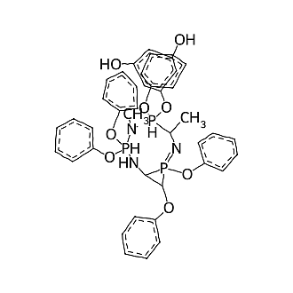 CC1N=P2(Oc3ccccc3)C(N[PH](Oc3ccccc3)(Oc3ccccc3)N(C)[PH]1(Oc1ccccc1)Oc1cc(O)cc(O)c1)C2Oc1ccccc1